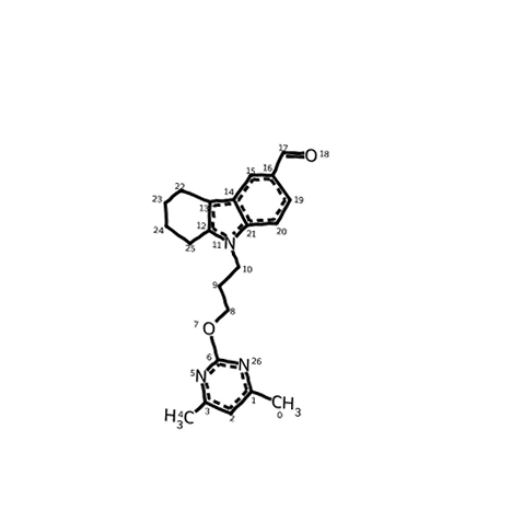 Cc1cc(C)nc(OCCCn2c3c(c4cc(C=O)ccc42)CCCC3)n1